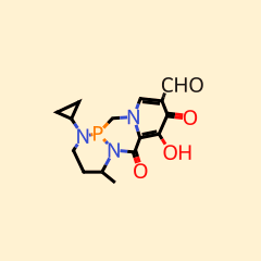 CC1CCN(C2CC2)P2Cn3cc(C=O)c(=O)c(O)c3C(=O)N12